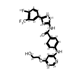 O=C(Nc1nc(-c2ccc(F)c(C(F)(F)F)c2)ns1)c1ccc(Nc2cc(OCCO)ncn2)cc1